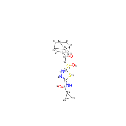 O=C(Nc1nnc([S+]([O-])CC(=O)C23CC4CC(CC(C4)C2)C3)s1)C1CC1